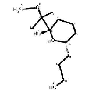 CC(C)(C)[C@@]1(C(C)(C)O[SiH3])CCC[C@H](CCCO)O1